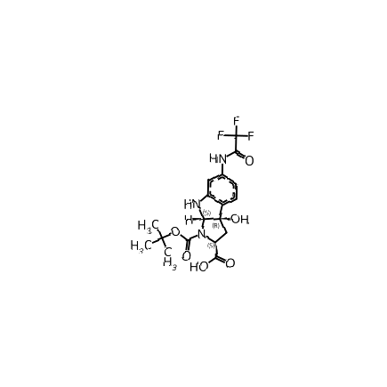 CC(C)(C)OC(=O)N1[C@H](C(=O)O)C[C@@]2(O)c3ccc(NC(=O)C(F)(F)F)cc3N[C@@H]12